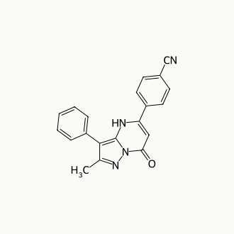 Cc1nn2c(=O)cc(-c3ccc(C#N)cc3)[nH]c2c1-c1ccccc1